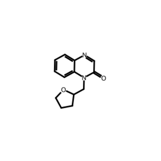 O=c1cnc2ccccc2n1CC1CCCO1